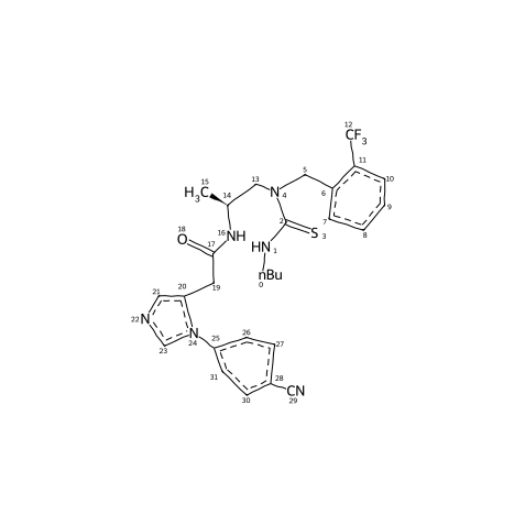 CCCCNC(=S)N(Cc1ccccc1C(F)(F)F)C[C@H](C)NC(=O)Cc1cncn1-c1ccc(C#N)cc1